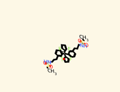 CCS(=O)(=O)NCCCc1ccc(F)[c]([Ti]([c]2c(F)ccc(CCCNS(=O)(=O)CC)c2F)([CH]2C=CC=C2)[CH]2C=CC=C2)c1F